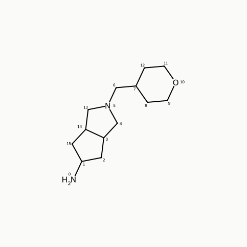 NC1CC2CN(CC3CCOCC3)CC2C1